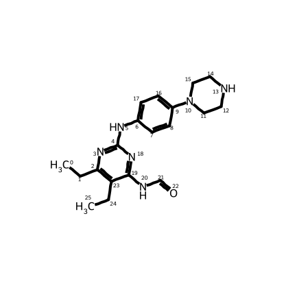 CCc1nc(Nc2ccc(N3CCNCC3)cc2)nc(NC=O)c1CC